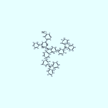 N#Cc1cccc(-c2cc(-c3ccccc3)nc(-n3c4ccc(-c5cccc(-n6c7ccccc7c7ccccc76)c5)cc4c4cc(-c5cccc(-n6c7ccccc7c7ccccc76)c5)ccc43)n2)c1